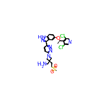 C[C@@H](Oc1ccc2[nH]nc(-c3ccc(N4CC(CN)(CCS(C)(=O)=O)C4)nn3)c2c1)c1c(Cl)cncc1Cl